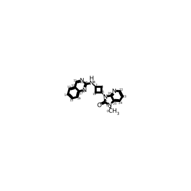 Cn1c(=O)n([C@H]2C[C@H](Nc3ncc4ccccc4n3)C2)c2ncccc21